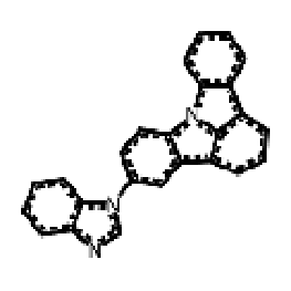 c1ccc2c(c1)ncn2-c1ccc2c(c1)c1cccc3c4ccccc4n2c31